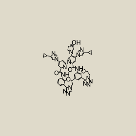 O=C(Nc1cccc2c1OC(c1cc(NC(=O)c3cc(-n4cnc(C5CC5)c4)c(N4CC[C@@H](O)C4)cn3)c3c(c1)-c1nnnn1CCO3)Cn1cnnc1-2)c1cc(-n2cnc(C3CC3)c2)ccn1